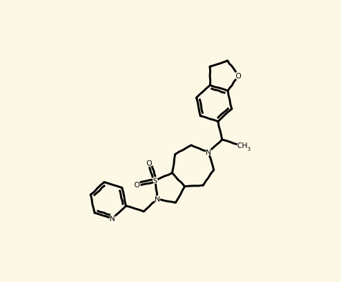 CC(c1ccc2c(c1)OCC2)N1CCC2CN(Cc3ccccn3)S(=O)(=O)C2CC1